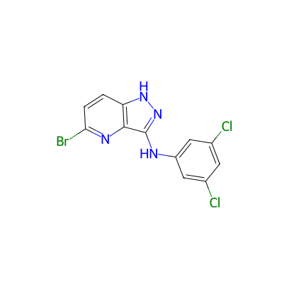 Clc1cc(Cl)cc(Nc2n[nH]c3ccc(Br)nc23)c1